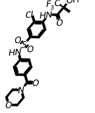 C[C@@](O)(C(=O)Nc1ccc(S(=O)(=O)Nc2ccc(C(=O)N3CCOCC3)cc2)cc1Cl)C(F)(F)F